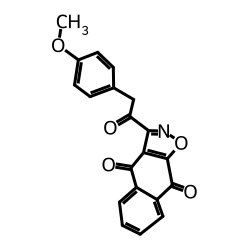 COc1ccc(CC(=O)c2noc3c2C(=O)c2ccccc2C3=O)cc1